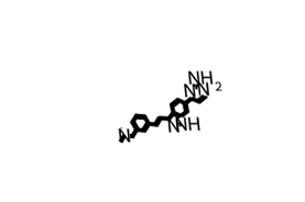 CN(C)Cc1cccc(/C=C/c2n[nH]c3cc(-c4ccnc(N)n4)ccc23)c1